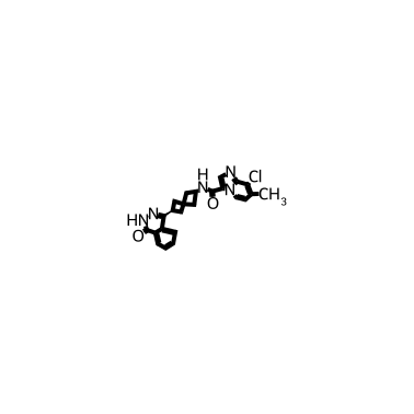 Cc1ccn2c(C(=O)N[C@H]3CC4(C3)C[C@H](c3n[nH]c(=O)c5ccccc53)C4)cnc2c1Cl